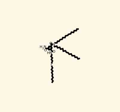 CCCCCCCCCCCCCCCCCCNC(=O)c1cc(C(N)=O)cc(C(=O)N(CCCCCCCCCCCCCCCCCC)CCCCCCCCCCCCCCCCCC)c1